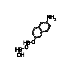 Nc1ccc2cc(OBOBO)ccc2c1